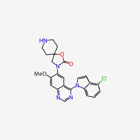 COc1cc2ncnc(-n3ccc4c(Cl)cccc43)c2cc1N1CC2(CCNCC2)OC1=O